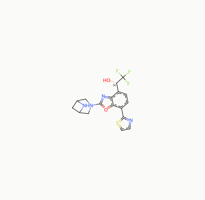 O[C@@H](c1ccc(-c2nccs2)c2oc(N3CC4CC(C3)N4)nc12)C(F)(F)F